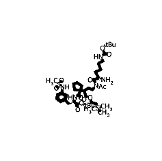 CC(=O)N(CCC(C(=O)OCC[Si](C)(C)C)C1(C(=O)N[C@@H](Cc2cccc(NS(C)(=O)=O)c2)C(=O)OC(C)(C)C)CCCC1)C(=O)[C@@H](N)CCCCNC(=O)OC(C)(C)C